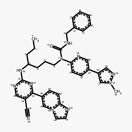 CCCC(CCCN(C(=O)NCc1ccccc1)c1ccc(-c2cnn(C)c2)cn1)Nc1ncc(C#N)c(-c2ccc3nccn3c2)n1